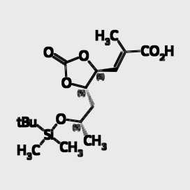 CC(=C[C@@H]1OC(=O)O[C@H]1C[C@H](C)O[Si](C)(C)C(C)(C)C)C(=O)O